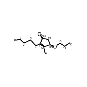 CCCCCC1=C(C)C(OCCC)CC1=O